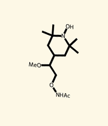 COC(CONC(C)=O)C1CC(C)(C)N(O)C(C)(C)C1